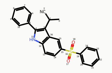 CC(C#N)c1c(-c2ccccc2)[nH]c2ccc(S(=O)(=O)c3ccccc3)cc12